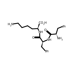 CC(C)C[C@H](NC(=O)[C@@H](N)CC(C)C)C(=O)N[C@@H](CCCCN)C(=O)O